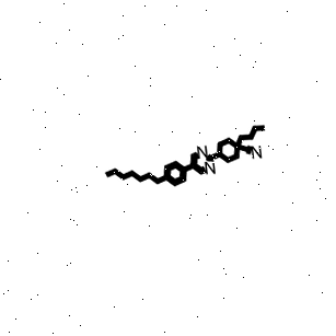 CCCCCCCc1ccc(-c2cnc(C3CCC(C#N)(CCCC)CC3)nc2)cc1